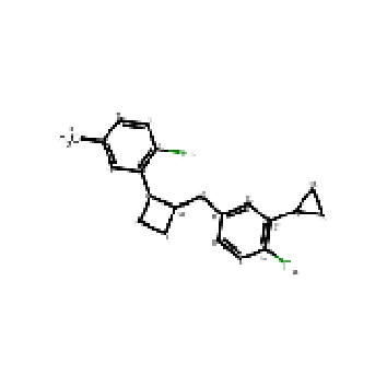 Cc1ccc(F)c(C2CCC2Cc2ccc(F)c(C3CC3)c2)c1